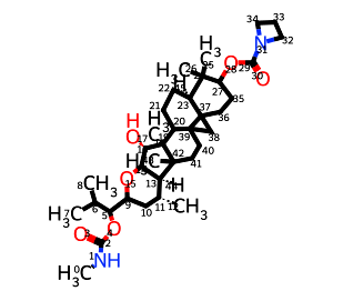 CNC(=O)OC(C(C)C)C1C[C@@H](C)[C@H]2C(O1)[C@H](O)C1(C)C3CC[C@H]4C(C)(C)C(OC(=O)N5CCC5)CCC45CC35CCC21C